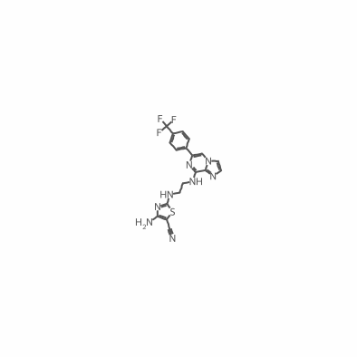 N#Cc1sc(NCCNc2nc(-c3ccc(C(F)(F)F)cc3)cn3ccnc23)nc1N